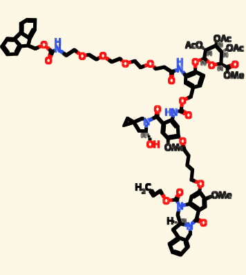 C=CCOC(=O)N1C[C@@H]2Cc3ccccc3CN2C(=O)c2cc(OC)c(OCCCCCOc3cc(NC(=O)OCc4ccc(O[C@@H]5O[C@H](C(=O)OC)[C@@H](OC(C)=O)[C@H](OC(C)=O)[C@H]5OC(C)=O)c(NC(=O)CCOCCOCCOCCOCCNC(=O)OCC5c6ccccc6-c6ccccc65)c4)c(C(=O)N4CC5(CC5)C[C@H]4CO)cc3OC)cc21